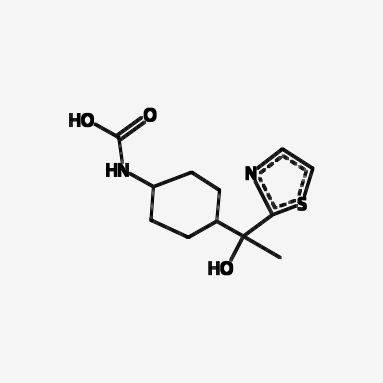 CC(O)(c1nccs1)C1CCC(NC(=O)O)CC1